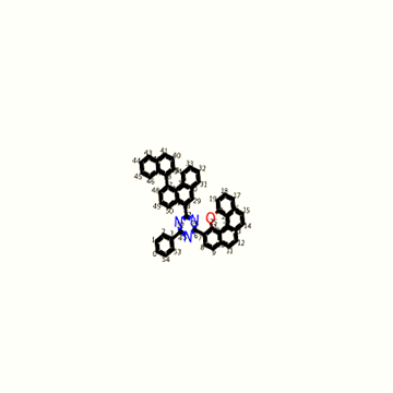 c1ccc(-c2nc(-c3ccc4ccc5ccc6cccc7c6c5c4c3O7)nc(-c3cc4ccccc4c4c(-c5cccc6ccccc56)cccc34)n2)cc1